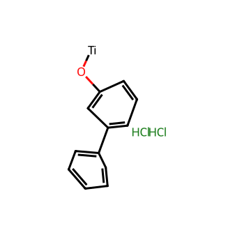 Cl.Cl.[Ti][O]c1cccc(-c2ccccc2)c1